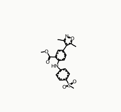 COC(=O)c1cc(-c2c(C)noc2C)ccc1Nc1ccc(S(C)(=O)=O)cc1